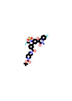 CNC(=O)c1c(-c2ccc(F)cc2)oc2cc(N(CCF)S(C)(=O)=O)c(-c3cccc(C(=O)N4CC5CCN(C(=O)OC(C)(C)C)CC5C4)c3)cc12